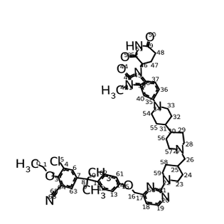 CCOc1c(Cl)cc(C(C)(C)c2ccc(OCc3ccnc(N4CCC(CN5CCC(C6CCN(c7ccc8c(c7)n(C)c(=O)n8C7CCC(=O)NC7=O)CC6)CC5)CC4)n3)cc2)cc1C#N